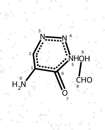 Nc1cnn[nH]c1=O.O=CO